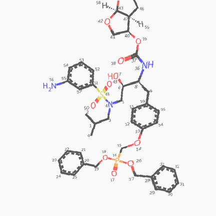 CC(C)CN(C[C@@H](O)[C@H](Cc1ccc(OCP(=O)(OCc2ccccc2)OCc2ccccc2)cc1)NC(=O)O[C@H]1CO[C@H]2OCC[C@H]21)S(=O)(=O)c1cccc(N)c1